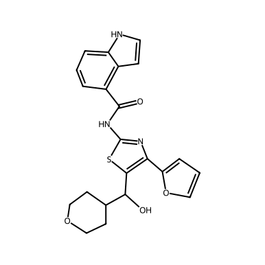 O=C(Nc1nc(-c2ccco2)c(C(O)C2CCOCC2)s1)c1cccc2[nH]ccc12